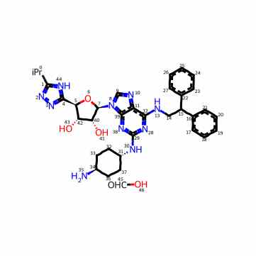 CC(C)c1nnc([C@H]2O[C@@H](n3cnc4c(NCC(c5ccccc5)c5ccccc5)nc(N[C@H]5CC[C@H](N)CC5)nc43)[C@H](O)[C@@H]2O)[nH]1.O=CO